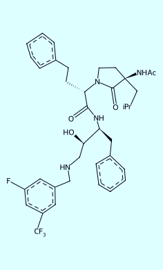 CC(=O)N[C@]1(CC(C)C)CCN([C@@H](CCc2ccccc2)C(=O)N[C@@H](Cc2ccccc2)[C@H](O)CNCc2cc(F)cc(C(F)(F)F)c2)C1=O